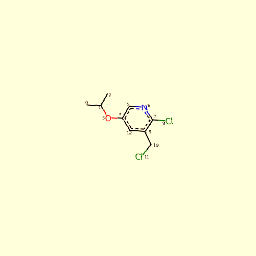 CC(C)Oc1cnc(Cl)c(CCl)c1